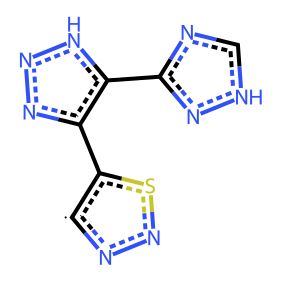 [c]1nnsc1-c1nn[nH]c1-c1nc[nH]n1